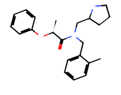 Cc1ccccc1CN(CC1CCCN1)C(=O)[C@H](C)Oc1ccccc1